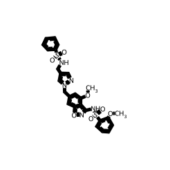 COc1ccccc1S(=O)(=O)Nc1noc2cc(Cn3cc(CNS(=O)(=O)c4ccccc4)cn3)cc(OC)c12